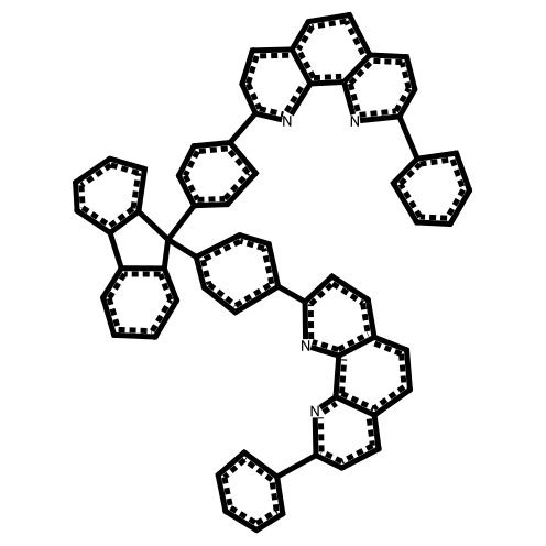 c1ccc(-c2ccc3ccc4ccc(-c5ccc(C6(c7ccc(-c8ccc9ccc%10ccc(-c%11ccccc%11)nc%10c9n8)cc7)c7ccccc7-c7ccccc76)cc5)nc4c3n2)cc1